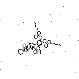 CCCCCOC(=O)Oc1ccc(C(CC(C)OC(=O)OC2CCCCC2)[C@H](N)C(=O)O)cc1OC(=O)OCCCCC